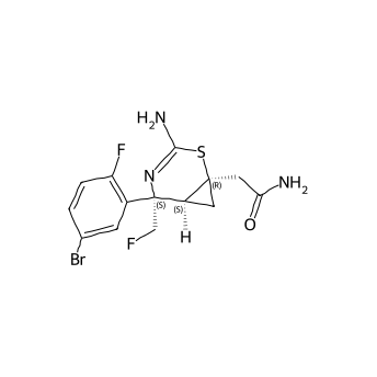 NC(=O)C[C@]12C[C@H]1[C@@](CF)(c1cc(Br)ccc1F)N=C(N)S2